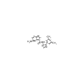 Cc1cc(C)cc(-n2nccc2NC(=O)c2cnn3ccc(N)nc23)c1